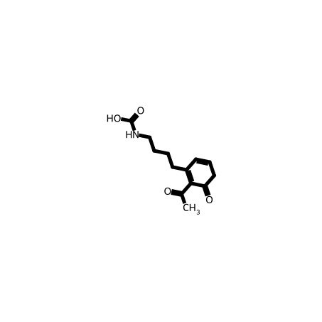 CC(=O)C1=C(CCCCNC(=O)O)C=CCC1=O